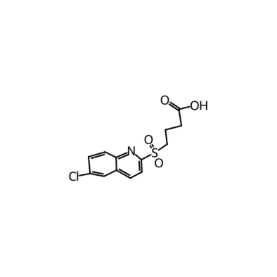 O=C(O)CCCS(=O)(=O)c1ccc2cc(Cl)ccc2n1